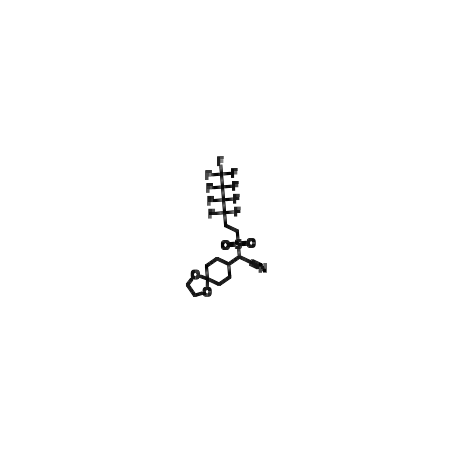 N#CC(C1CCC2(CC1)OCCO2)S(=O)(=O)CCC(F)(F)C(F)(F)C(F)(F)C(F)(F)F